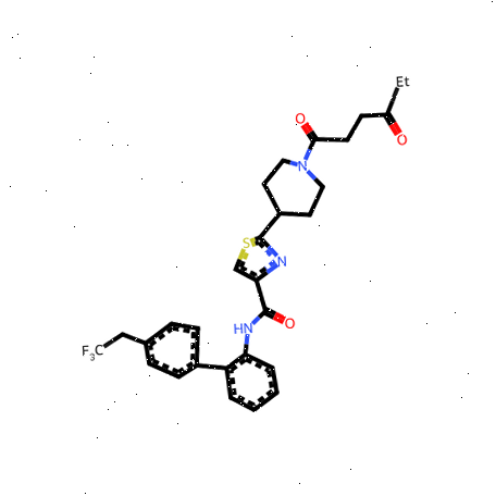 CCC(=O)CCC(=O)N1CCC(c2nc(C(=O)Nc3ccccc3-c3ccc(CC(F)(F)F)cc3)cs2)CC1